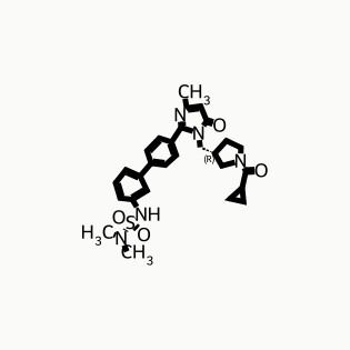 Cc1cc(=O)n(C[C@@H]2CCN(C(=O)C3CC3)C2)c(-c2ccc(-c3cccc(NS(=O)(=O)N(C)C)c3)cc2)n1